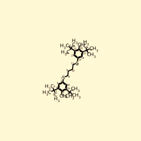 CC(C)(C)c1cc(SCCCCSc2cc(C(C)(C)C)c(O)c(C(C)(C)C)c2)cc(C(C)(C)C)c1O